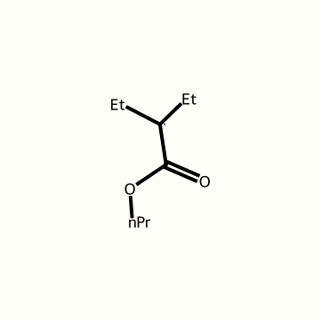 CCCOC(=O)[C](CC)CC